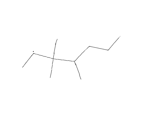 C[CH]C(C)(C)C(C)CCC